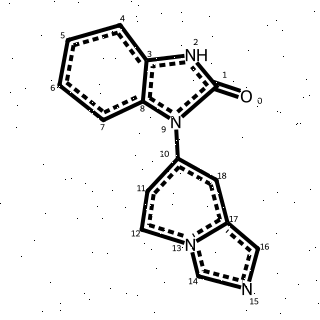 O=c1[nH]c2ccccc2n1-c1ccn2cncc2c1